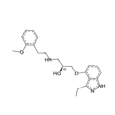 CCc1n[nH]c2cccc(OC[C@@H](O)CNCCc3ccccc3OC)c12